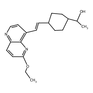 CCOc1ccc2nccc(C=CC3CCC(C(C)O)CC3)c2n1